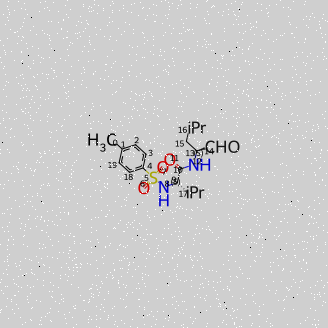 Cc1ccc(S(=O)(=O)N[C@H](C(=O)N[C@H](C=O)CC(C)C)C(C)C)cc1